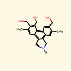 CCN1C=Cc2c(c3cc(OC)c(CO)cc3c3c(CO)c(CO)c(OC)cc23)C1